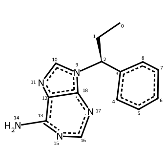 CC[C@@H](c1ccccc1)n1cnc2c(N)ncnc21